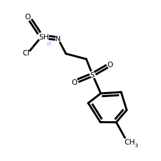 Cc1ccc(S(=O)(=O)CC/N=[SH](=O)\Cl)cc1